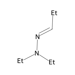 CCC=NN(CC)CC